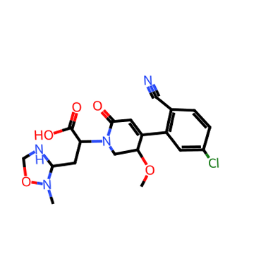 COC1CN(C(CC2NCON2C)C(=O)O)C(=O)C=C1c1cc(Cl)ccc1C#N